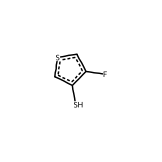 Fc1cscc1S